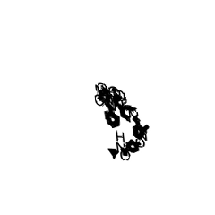 COC(=O)[N+]1(C(N)=O)CC(c2ccccc2)N(C2CCN(Cc3ccc(Oc4ccc(C(=O)NC5CC5)cc4)nc3C)CC2)C1=O